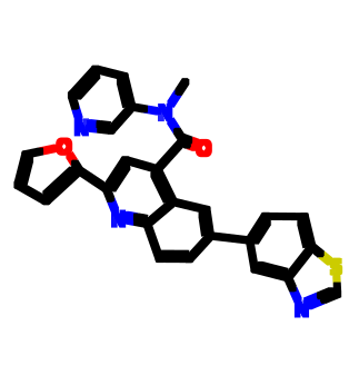 CN(C(=O)c1cc(-c2ccco2)nc2ccc(-c3ccc4scnc4c3)cc12)c1cccnc1